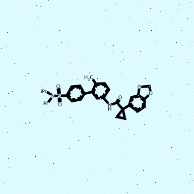 Cc1ccc(NC(=O)C2(c3ccc4c(c3)OCO4)CC2)cc1-c1ccc(S(=O)(=O)N(C(C)C)C(C)C)cc1